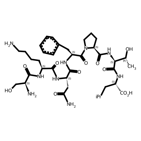 CC(C)C[C@H](NC(=O)[C@@H](NC(=O)[C@@H]1CCCN1C(=O)[C@H](Cc1ccccc1)NC(=O)[C@H](CC(N)=O)NC(=O)[C@H](CCCCN)NC(=O)[C@@H](N)CO)[C@@H](C)O)C(=O)O